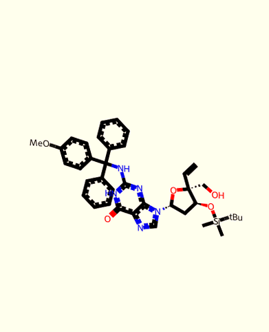 C=C[C@]1(CO)O[C@@H](n2cnc3c(=O)[nH]c(NC(c4ccccc4)(c4ccccc4)c4ccc(OC)cc4)nc32)C[C@@H]1O[Si](C)(C)C(C)(C)C